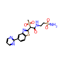 CS(=O)(=O)C(C(=O)NCCS(N)(=O)=O)c1nc2cc(-c3ncccn3)ccc2s1